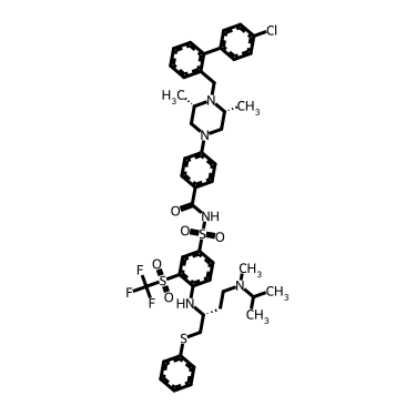 CC(C)N(C)CC[C@H](CSc1ccccc1)Nc1ccc(S(=O)(=O)NC(=O)c2ccc(N3C[C@@H](C)N(Cc4ccccc4-c4ccc(Cl)cc4)[C@@H](C)C3)cc2)cc1S(=O)(=O)C(F)(F)F